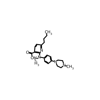 CCCCc1ccc(C(=O)O)c(N(C)c2ccc(N3CCN(C)CC3)cc2)n1